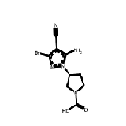 N#Cc1c(Br)nn([C@H]2CCN(C(=O)O)C2)c1N